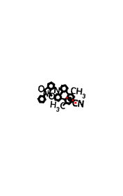 Cc1cc(C#N)ccc1-c1cccc2c1c1c(-c3ccc(C#N)cc3C)cccc1n2-c1cccc2c1C(=O)N(c1ccccc1)C2=O